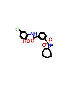 CN(C1CCCCCC1)S(=O)(=O)c1cccc(C(=O)Nc2cc(Cl)ccc2O)c1